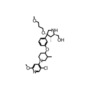 COCCCO[C@]1(c2cccc(OC3CCN(c4cc(OC)ncc4Cl)CC3C)c2)CN[C@@H](CO)[C@@H]1C